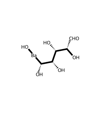 O=C[C@H](O)[C@@H](O)[C@H](O)[C@H](O)[Ba][OH]